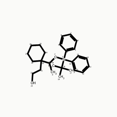 CC(O[Si](c1ccccc1)(c1ccccc1)C(C)(C)C)C1(CCO)CCCCC1